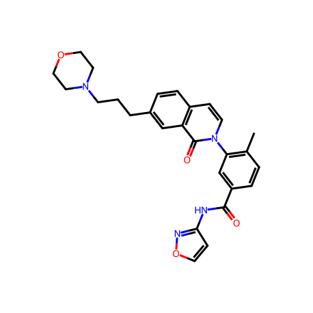 Cc1ccc(C(=O)Nc2ccon2)cc1-n1ccc2ccc(CCCN3CCOCC3)cc2c1=O